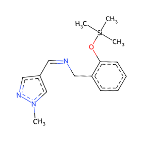 Cn1cc(/C=N\Cc2ccccc2O[Si](C)(C)C)cn1